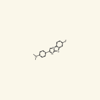 CN(C)c1ccc(-c2cn3c(n2)sc2cc(F)ccc23)cc1